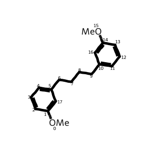 COc1cccc(CCCCc2cccc(OC)c2)c1